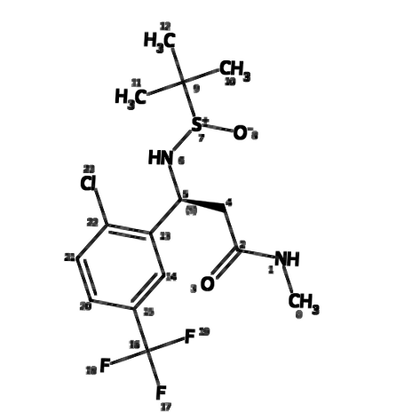 CNC(=O)C[C@H](N[S+]([O-])C(C)(C)C)c1cc(C(F)(F)F)ccc1Cl